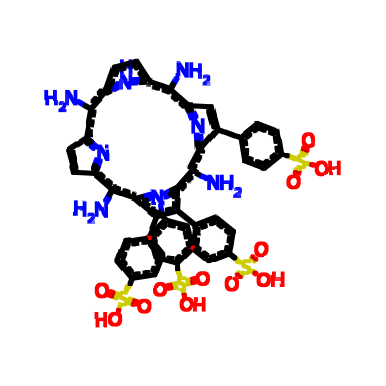 Nc1c2nc(c(N)c3c(-c4ccc(S(=O)(=O)O)cc4)c(-c4ccc(S(=O)(=O)O)cc4)c(c(N)c4nc(c(N)c5ccc1[nH]5)C=C4c1ccc(S(=O)(=O)O)cc1)n3-c1ccc(S(=O)(=O)O)cc1)C=C2